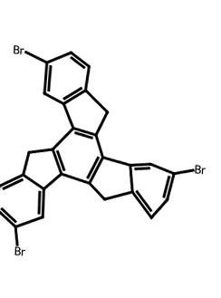 Brc1ccc2c(c1)-c1c(c3c(c4c1Cc1ccc(Br)cc1-4)Cc1ccc(Br)cc1-3)C2